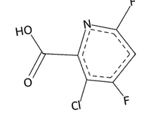 O=C(O)c1nc(F)cc(F)c1Cl